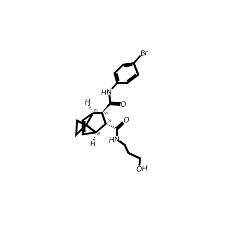 O=C(NCCCO)[C@H]1[C@H](C(=O)Nc2ccc(Br)cc2)[C@@H]2C=C[C@H]1C21CC1